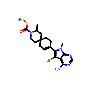 CC1CC2(CC=C(c3c(Br)c4c(N)ncnc4n3C)CC2)CCN1C(=O)OC(C)(C)C